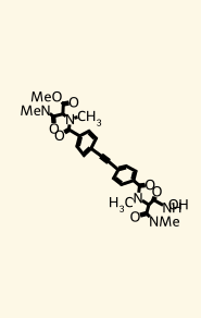 CNC(=O)C(C(=O)NO)N(C)C(=O)c1ccc(C#Cc2ccc(C(=O)N(C)C(C(=O)NC)C(=O)OC)cc2)cc1